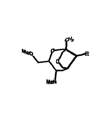 CCC1C2OC1(C)OC(COC)C2NC